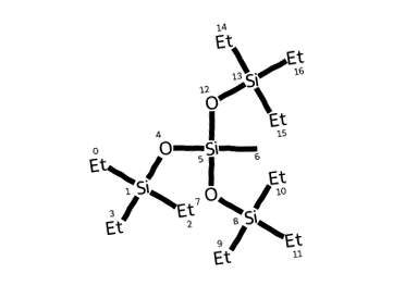 CC[Si](CC)(CC)O[Si](C)(O[Si](CC)(CC)CC)O[Si](CC)(CC)CC